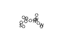 c1ccc(-c2cc(-c3ccc(-c4ccc(-c5cccc6sc7ccccc7c56)c5c4oc4ccccc45)cc3)nc(-c3ccc(-c4ccccn4)cc3)n2)cc1